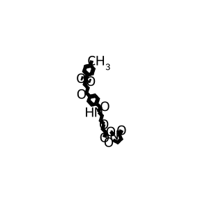 Cc1ccc(S(=O)(=O)CCC(=O)c2ccc(C(=O)NCCOCC(=O)ON3C(=O)CCC3=O)cc2)cc1